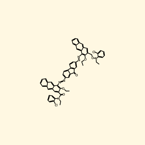 CCOc1c(CON(CC)c2ccccc2Cl)cc2cc3ccccc3cc2c1N=Nc1ccc2c(c1)C(=O)c1cc(N=Nc3c(OCC)c(C(=O)N(CC)c4ccccc4Cl)cc4cc5ccccc5cc34)ccc1-2